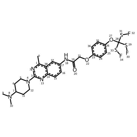 Cc1nc(N2CCC(N(C)C)CC2)nc2ccc(NC(=O)COc3ccc(OC(SF)(SF)SF)cc3)cc12